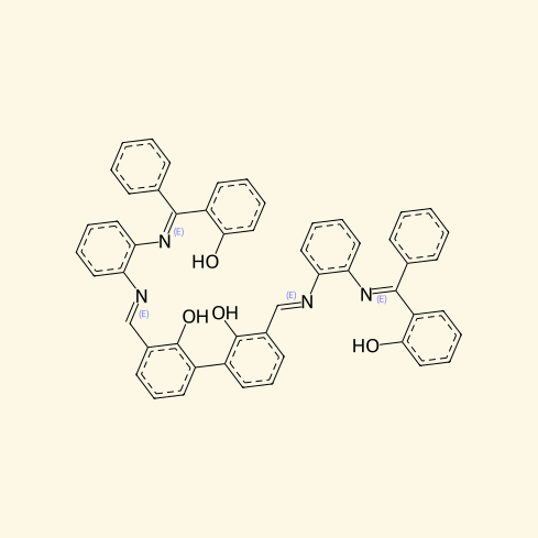 Oc1ccccc1/C(=N/c1ccccc1/N=C/c1cccc(-c2cccc(/C=N/c3ccccc3/N=C(\c3ccccc3)c3ccccc3O)c2O)c1O)c1ccccc1